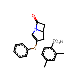 Cc1ccc(C(=O)O)c(C)c1.O=C1CC2CC(Sc3ccccc3)=CN12